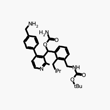 Cc1nccc(-c2ccc(CN)cc2)c1C(OC(N)=O)c1cccc(CNC(=O)OC(C)(C)C)c1CC(C)C